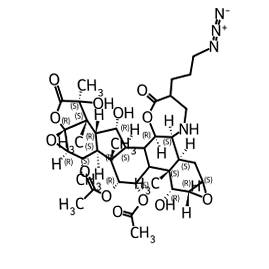 CC(=O)O[C@H]1C2C([C@H]3OC(=O)C(CCCN=[N+]=[N-])CN[C@H]3[C@H]3C[C@@H]4O[C@@H]4[C@H](O)[C@]23C)[C@@H]2[C@@H](O)[C@@H]3[C@H]([C@H](C)[C@H]4O[C@]45OC(=O)[C@@](C)(O)[C@]35C)[C@@]2(C)[C@H]1OC(C)=O